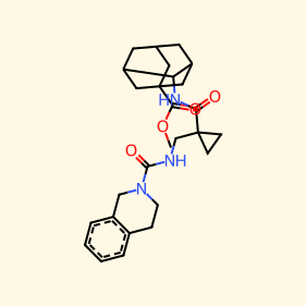 COC(=O)C12CC3CC(C1)C(NC(=O)C1(CNC(=O)N4CCc5ccccc5C4)CC1)C(C3)C2